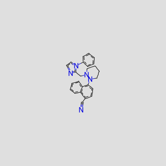 N#Cc1ccc(N2CCCCN2Cc2nccn2-c2ccccc2)c2ccccc12